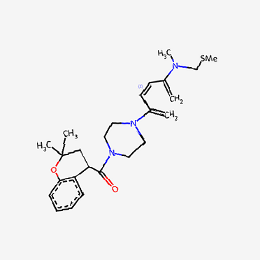 C=C(/C=C\C(=C)N1CCN(C(=O)C2CC(C)(C)Oc3ccccc32)CC1)N(C)CSC